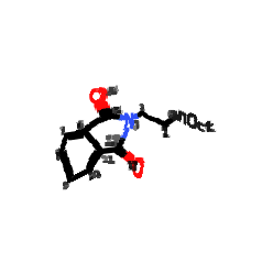 CCCCC[CH]CCCCN1C(=O)c2ccccc2C1=O